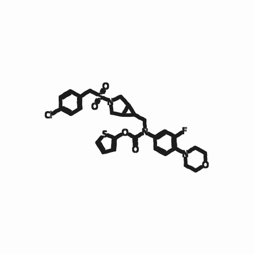 O=C(Oc1cccs1)N(CC1C2CN(S(=O)(=O)Cc3ccc(Cl)cc3)CC12)c1ccc(N2CCOCC2)c(F)c1